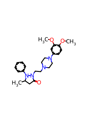 COc1ccc(N2CCN(CCN3C(=O)CC(C)N3c3ccccc3)CC2)cc1OC